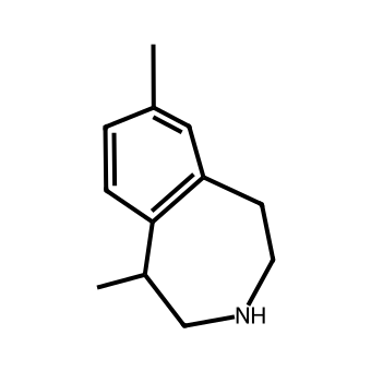 Cc1ccc2c(c1)CCNCC2C